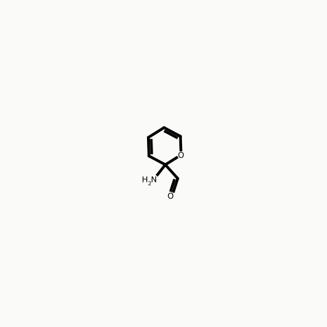 NC1(C=O)C=CC=CO1